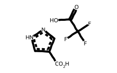 O=C(O)C(F)(F)F.O=C(O)c1cn[nH]c1